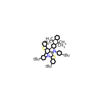 CC(C)(C)c1ccc(N2B3c4sc5ccc(C(C)(C)C)cc5c4-n4c5ccc(C(C)(C)C)cc5c5c6sc7ccccc7c6c(c3c54)-c3cc4c(cc32)C(C)(C)c2ccccc2C4(C)C)cc1